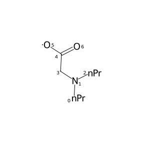 CCCN(CCC)CC([O])=O